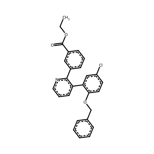 CCOC(=O)c1cccc(-c2ncccc2-c2cc(Cl)ccc2OCc2ccccc2)c1